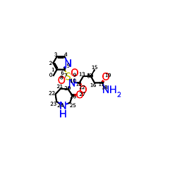 Cc1cccnc1S(=O)(=O)N(C(=O)C[C@@H](C)CC(N)=O)C1CCCNCC1=O